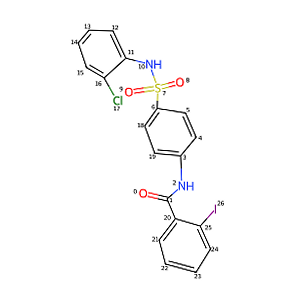 O=C(Nc1ccc(S(=O)(=O)Nc2ccccc2Cl)cc1)c1ccccc1I